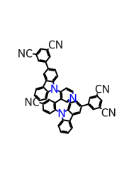 N#Cc1cc(C#N)cc(-c2ccc3c(c2)c2ccccc2n3-c2ccncc2-c2cc(C#N)ccc2-n2c3ccccc3c3cc(-c4cc(C#N)cc(C#N)c4)ccc32)c1